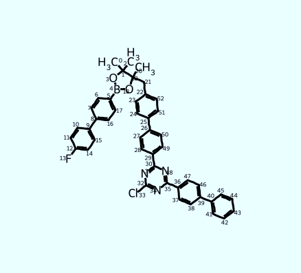 CC1(C)OB(c2ccc(-c3ccc(F)cc3)cc2)OC1(C)Cc1ccc(-c2ccc(-c3nc(Cl)nc(-c4ccc(-c5ccccc5)cc4)n3)cc2)cc1